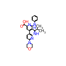 CC(C)C(=N)c1c(-c2ccc(N3CCOCC3)nc2)cc(C(=O)O)nc1Nc1ccccc1